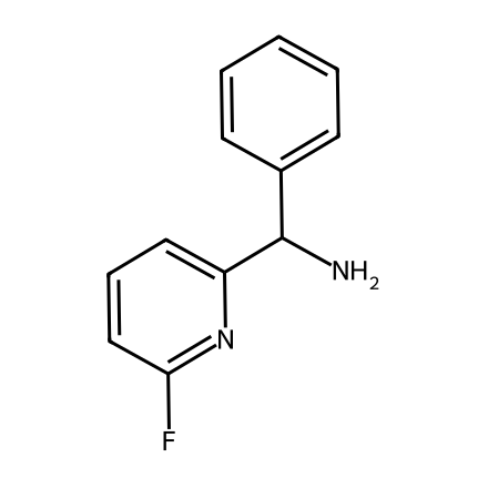 NC(c1ccccc1)c1cccc(F)n1